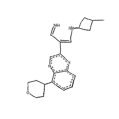 CC1CC(N/C=C(\C=N)c2cnc3c(C4CCOCC4)cccc3n2)C1